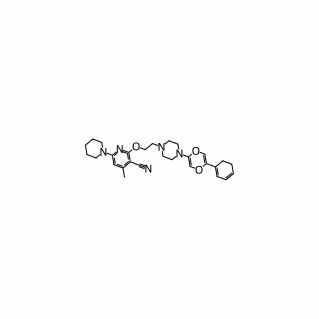 Cc1cc(N2CCCCC2)nc(OCCN2CCN(C3=COC(C4=CC=CCC4)=CO3)CC2)c1C#N